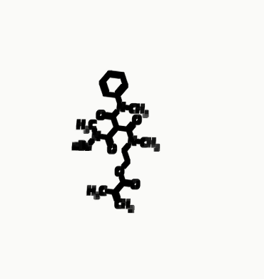 C=C(C)C(=O)OCCN(C)C(=O)C(C(=O)N(C)CCCC)C(=O)N(C)c1ccccc1